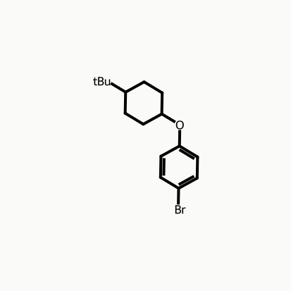 CC(C)(C)C1CCC(Oc2ccc(Br)cc2)CC1